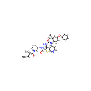 Cc1cc(Oc2ccccc2)ccc1N1C(=O)Nc2c(C(=O)N[C@@H]3CCCN(C(=O)/C(C#N)=C/C(C)(C)C)C3)sc3nccc1c23